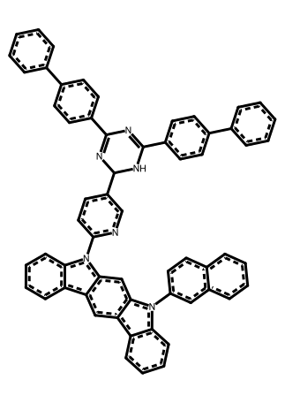 c1ccc(-c2ccc(C3=NC(c4ccc(-n5c6ccccc6c6cc7c8ccccc8n(-c8ccc9ccccc9c8)c7cc65)nc4)NC(c4ccc(-c5ccccc5)cc4)=N3)cc2)cc1